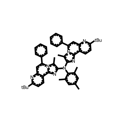 Cc1cc(C)c(N(c2nc3c4ccc(C(C)(C)C)nc4cc(-c4ccccc4)n3c2C)c2nc3c4ccc(C(C)(C)C)nc4cc(-c4ccccc4)n3c2C)c(C)c1